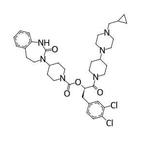 O=C(O[C@H](Cc1ccc(Cl)c(Cl)c1)C(=O)N1CCC(N2CCN(CC3CC3)CC2)CC1)N1CCC(N2CCc3ccccc3NC2=O)CC1